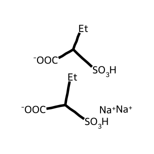 CCC(C(=O)[O-])S(=O)(=O)O.CCC(C(=O)[O-])S(=O)(=O)O.[Na+].[Na+]